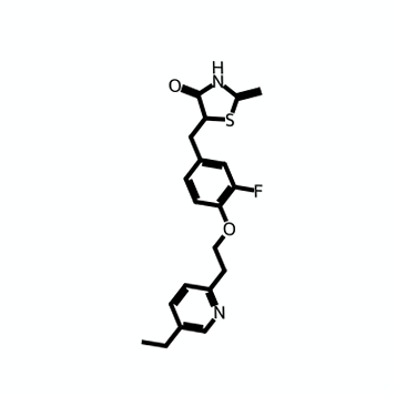 C=C1NC(=O)C(Cc2ccc(OCCc3ccc(CC)cn3)c(F)c2)S1